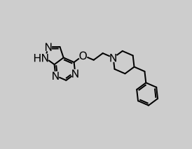 c1ccc(CC2CCN(CCOc3ncnc4[nH]ncc34)CC2)cc1